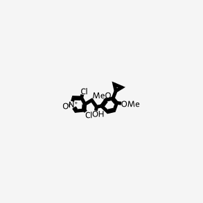 COc1ccc(C(O)Cc2c(Cl)c[n+]([O-])cc2Cl)c(OC)c1C1CC1